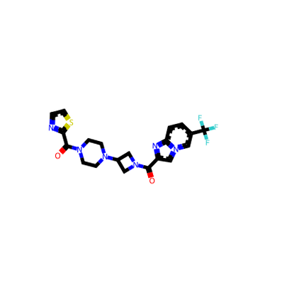 O=C(c1cn2cc(C(F)(F)F)ccc2n1)N1CC(N2CCN(C(=O)c3nccs3)CC2)C1